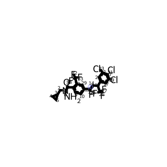 NN(CC1CC1)C(=O)c1ccc(/C(F)=C/C(c2cc(Cl)c(Cl)c(Cl)c2)C(F)(F)F)cc1C(F)(F)F